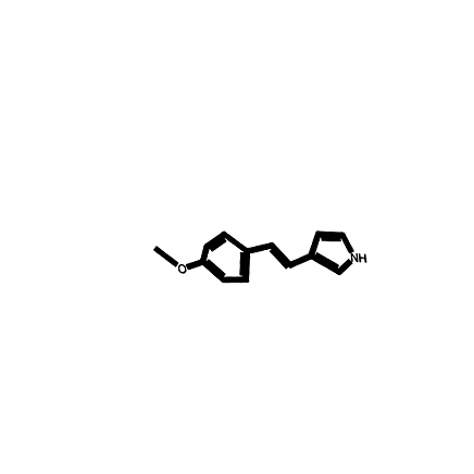 COc1ccc(C=Cc2cc[nH]c2)cc1